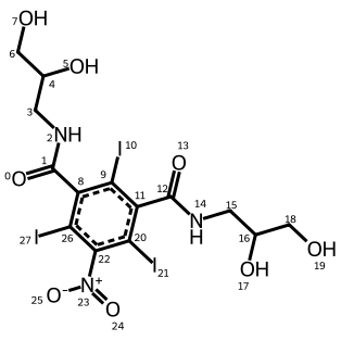 O=C(NCC(O)CO)c1c(I)c(C(=O)NCC(O)CO)c(I)c([N+](=O)[O-])c1I